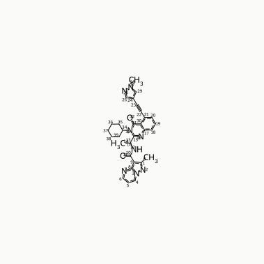 Cc1nn2cccnc2c1C(=O)N[C@@H](C)c1nc2cccc(C#Cc3cnn(C)c3)c2c(=O)n1C1CCCCC1